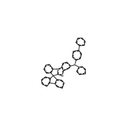 c1ccc(-c2ccc(N(c3ccccc3)c3ccc4c(c3)nc3n4-c4ccccc4C34c3ccccc3-c3ccccc34)cc2)cc1